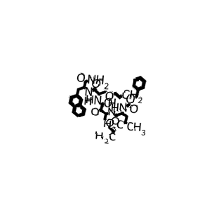 C=CCOCC(NC(=O)C(=O)C(COCC=C)NC(=O)C(CC(C)C)NC(=O)OCc1ccccc1)C(=O)NC(Cc1ccc2ccccc2c1)C(N)=O